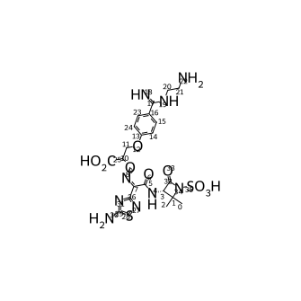 CC1(C)[C@H](NC(=O)/C(=N\OC(COc2ccc(C(=N)NCCN)cc2)C(=O)O)c2nsc(N)n2)C(=O)N1S(=O)(=O)O